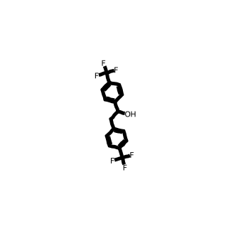 OC(Cc1ccc(C(F)(F)F)cc1)c1ccc(C(F)(F)F)cc1